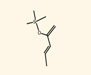 C=C(/C=C/C)O[Si](C)(C)C